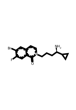 N[C@H](CCCn1ccc2cc(Br)c(F)cc2c1=O)C1CC1